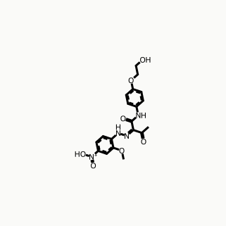 COc1cc([N+](=O)O)ccc1N/N=C(/C(C)=O)C(=O)Nc1ccc(OCCO)cc1